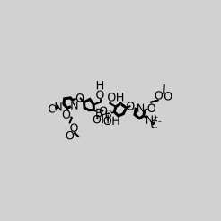 [C-]#[N+]c1ccc(Oc2ccc(B(O)OB(O)c3ccc(Oc4ccc([N+]#[C-])c(OCCOC(C)=O)n4)cc3CO)c(CO)c2)nc1OCCOC(C)=O